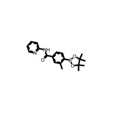 Cc1cc(C(=O)Nc2ccccn2)ccc1B1OC(C)(C)C(C)(C)O1